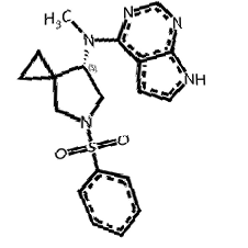 CN(c1ncnc2[nH]ccc12)[C@@H]1CN(S(=O)(=O)c2ccccc2)CC12CC2